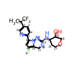 C[C@@H](c1ccc(-c2cc(F)c3cnc(NC4CCOCC4O)nn23)nc1)C(F)(F)F